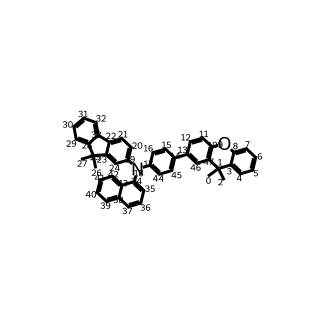 CC1(C)c2ccccc2Oc2ccc(-c3ccc(N(c4ccc5c(c4)C(C)(C)c4ccccc4-5)c4cccc5ccccc45)cc3)cc21